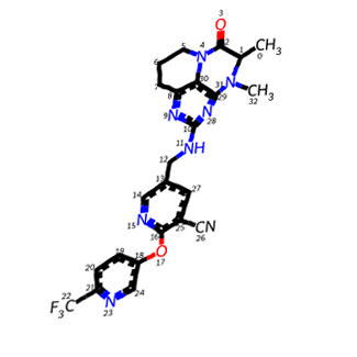 CC1C(=O)N2CCCc3nc(NCc4cnc(Oc5ccc(C(F)(F)F)nc5)c(C#N)c4)nc(c32)N1C